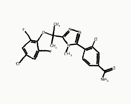 Cn1c(-c2ccc(C(N)=O)cc2Cl)nnc1C(C)(C)Oc1c(F)cc(Cl)cc1F